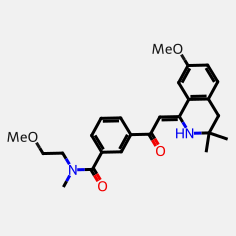 COCCN(C)C(=O)c1cccc(C(=O)C=C2NC(C)(C)Cc3ccc(OC)cc32)c1